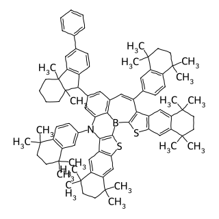 CC1(C)CCC(C)(C)c2cc(C3=Cc4cc(C5c6ccc(-c7ccccc7)cc6C6(C)CCCCC56C)cc5c4B(c4sc6cc7c(cc6c43)C(C)(C)CCC7(C)C)c3sc4cc6c(cc4c3N5c3ccc4c(c3)C(C)(C)CCC4(C)C)C(C)(C)CCC6(C)C)ccc21